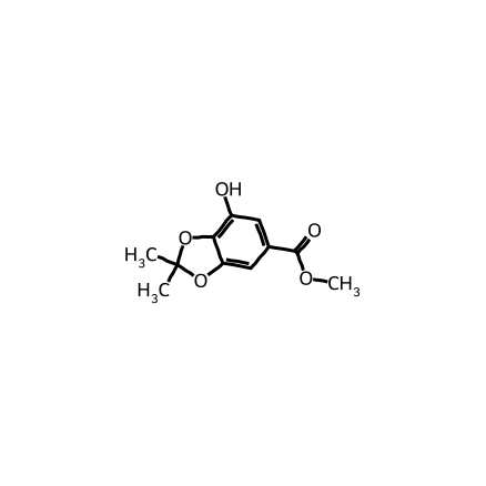 COC(=O)c1cc(O)c2c(c1)OC(C)(C)O2